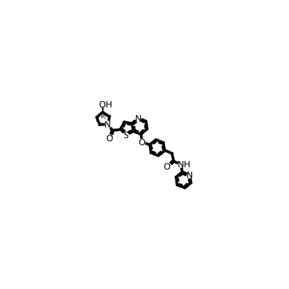 O=C(Cc1ccc(Oc2ccnc3cc(C(=O)N4CC[C@@H](O)C4)sc23)cc1)Nc1ccccn1